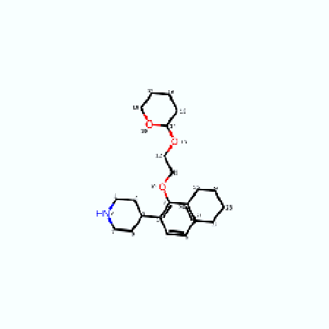 c1cc(C2CCNCC2)c(OCCOC2CCCCO2)c2c1CCCC2